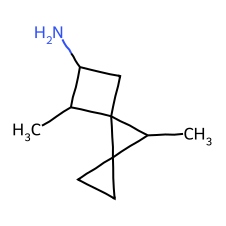 CC1C(N)CC12C(C)C21CC1